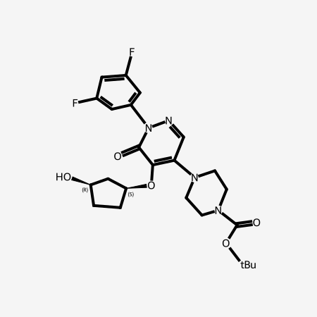 CC(C)(C)OC(=O)N1CCN(c2cnn(-c3cc(F)cc(F)c3)c(=O)c2O[C@H]2CC[C@@H](O)C2)CC1